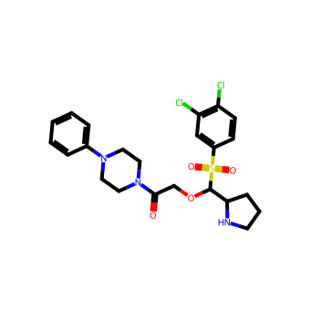 O=C(COC(C1CCCN1)S(=O)(=O)c1ccc(Cl)c(Cl)c1)N1CCN(c2ccccc2)CC1